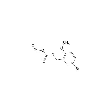 COc1ccc(Br)cc1COC(=O)OC=O